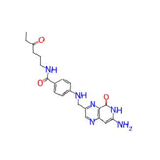 CCC(=O)CCCNC(=O)c1ccc(NCc2cnc3cc(N)[nH]c(=O)c3n2)cc1